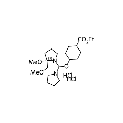 CCOC(=O)C1CCC(OC(N2CCCC2)N2CCC[C@@]2(COC)OC)CC1.Cl.Cl